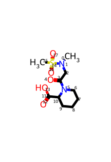 CN(CC(=O)N1CCCCC1C(=O)O)S(C)(=O)=O